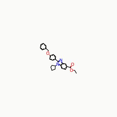 CCOC(=O)c1ccc2c(c1)nc(-c1ccc(OCc3ccccc3)cc1)n2C1CCCC1